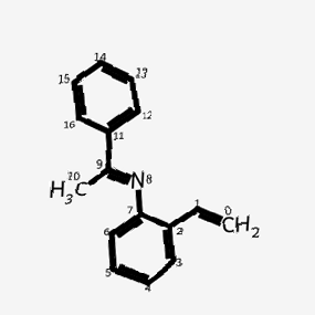 C=Cc1ccccc1/N=C(\C)c1ccccc1